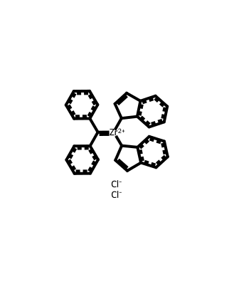 C1=C[CH]([Zr+2](=[C](c2ccccc2)c2ccccc2)[CH]2C=Cc3ccccc32)c2ccccc21.[Cl-].[Cl-]